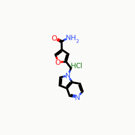 Cl.NC(=O)c1coc(Cn2ccc3cnccc32)c1